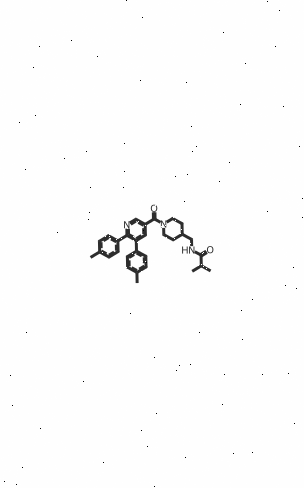 Cc1ccc(-c2cc(C(=O)N3CCC(CNC(=O)C(C)C)CC3)cnc2-c2ccc(C)cc2)cc1